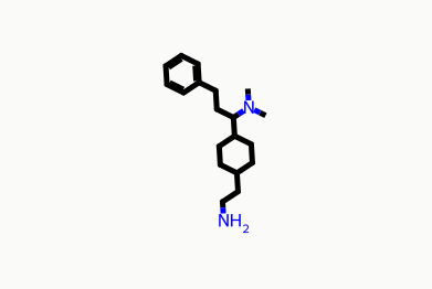 CN(C)C(CCc1ccccc1)C1CCC(CCN)CC1